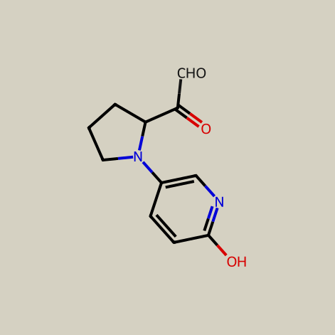 O=CC(=O)C1CCCN1c1ccc(O)nc1